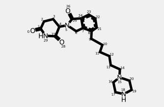 O=C1CCC(N2Cc3c(CCCCCCN4CCNCC4)cccc3C2=O)C(=O)N1